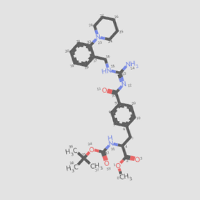 COC(=O)C(Cc1ccc(C(=O)N=C(N)NCc2ccccc2N2CCCCC2)cc1)NC(=O)OC(C)(C)C